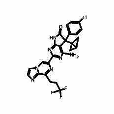 Nc1nc(-c2cn3ccnc3c(CCC(F)(F)F)n2)nc2c1C(c1ccc(Cl)cc1)(C13CC1C3)C(=O)N2